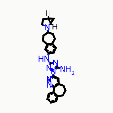 Nc1nc(Nc2ccc3c(c2)CCC(N2CC[C@@H]4C[C@@H]42)CC3)nn1-c1cc2c(nn1)-c1ccccc1CCC2